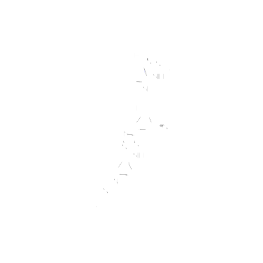 CN(N)/C=C(\N)C(=O)N1CCC(Oc2ccc(-c3ncnc(Nc4ccc(N5CCN(C6COC6)CC5)cc4)n3)cc2C#N)C(F)C1